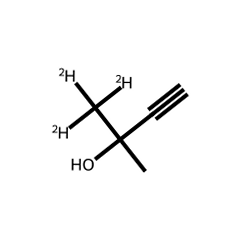 [2H]C([2H])([2H])C(C)(O)C#C